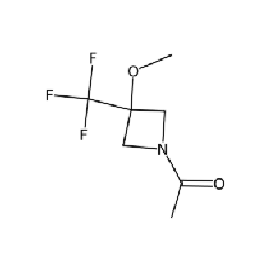 COC1(C(F)(F)F)CN(C(C)=O)C1